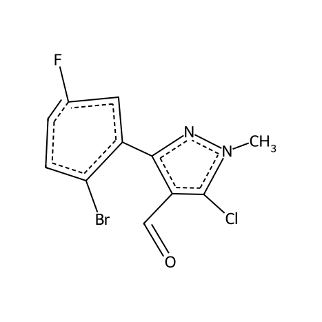 Cn1nc(-c2cc(F)ccc2Br)c(C=O)c1Cl